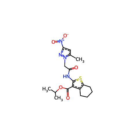 Cc1cc([N+](=O)[O-])nn1CC(=O)Nc1sc2c(c1C(=O)OC(C)C)CCCC2